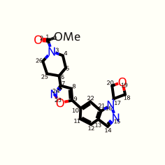 COC(=O)N1CCC(c2cc(-c3ccc4cnn(C5COC5)c4c3)on2)CC1